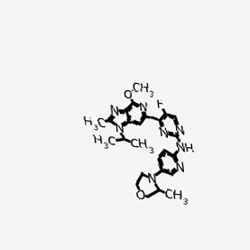 COc1nc(-c2nc(Nc3ccc(N4CCOCC4C)cn3)ncc2F)cc2c1nc(C)n2C(C)C